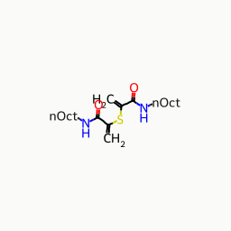 C=C(SC(=C)C(=O)NCCCCCCCC)C(=O)NCCCCCCCC